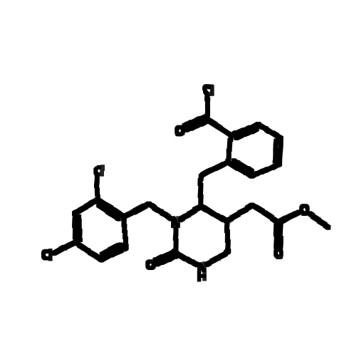 COC(=O)CC1CNC(=O)N(Cc2ccc(Cl)cc2Cl)C1Cc1ccccc1C(=O)Cl